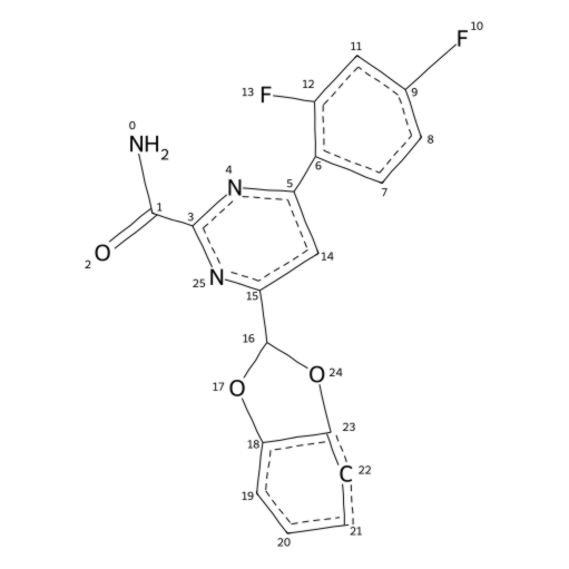 NC(=O)c1nc(-c2ccc(F)cc2F)cc(C2Oc3ccccc3O2)n1